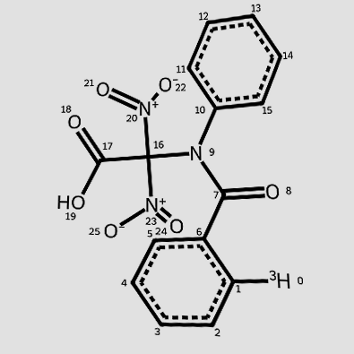 [3H]c1ccccc1C(=O)N(c1ccccc1)C(C(=O)O)([N+](=O)[O-])[N+](=O)[O-]